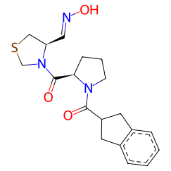 O=C([C@H]1CCCN1C(=O)C1Cc2ccccc2C1)N1CSC[C@H]1C=NO